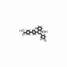 Cn1cc(/C(CC(c2ccc(-c3ccc(C(=O)O)cc3)cc2)c2ccccc2F)=N\O)ccc1=O